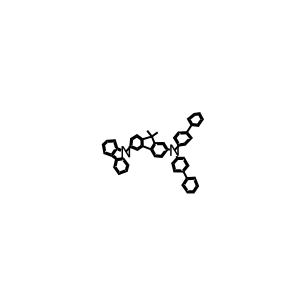 CC1(C)c2ccc(-n3c4ccccc4c4ccccc43)cc2-c2ccc(N(c3ccc(-c4ccccc4)cc3)c3ccc(-c4ccccc4)cc3)cc21